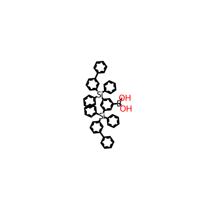 OB(O)c1cc([Si](c2ccccc2)(c2ccccc2)c2cccc(-c3ccccc3)c2)cc([Si](c2ccccc2)(c2ccccc2)c2cccc(-c3ccccc3)c2)c1